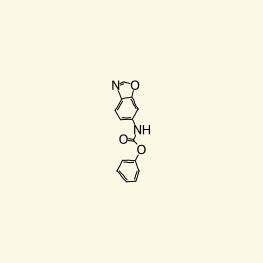 O=C(Nc1ccc2ncoc2c1)Oc1ccccc1